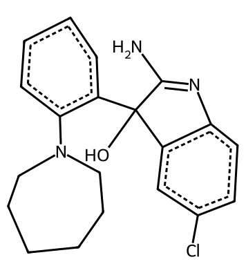 NC1=Nc2ccc(Cl)cc2C1(O)c1ccccc1N1CCCCCC1